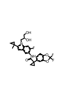 CC1(c2cc3cc(NC(=O)C4(c5ccc6c(c5)OC(F)(F)O6)CC4)c(F)cc3n2C[C@H](O)CO)CC1